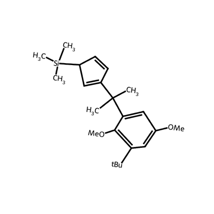 COc1cc(C(C)(C)C)c(OC)c(C(C)(C)C2=CC([Si](C)(C)C)C=C2)c1